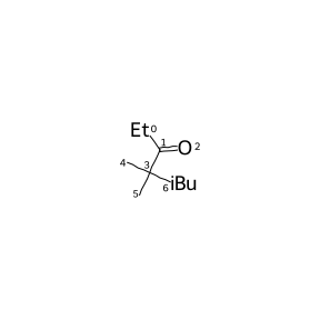 CCC(=O)C(C)(C)C(C)CC